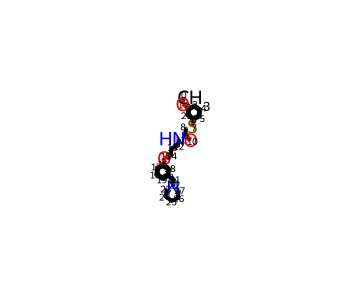 COc1cccc(SCC(=O)NCCCOc2cccc(CN3CCCCC3)c2)c1